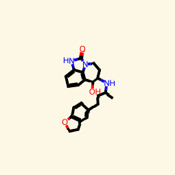 CC(CCc1ccc2c(c1)CCO2)NC1CCn2c(=O)[nH]c3cccc(c32)C1O